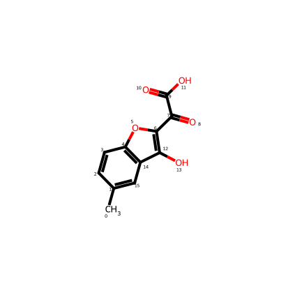 Cc1ccc2oc(C(=O)C(=O)O)c(O)c2c1